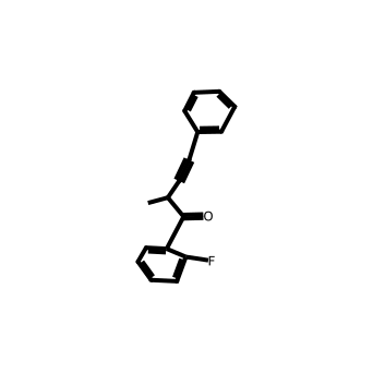 CC(C#Cc1ccccc1)C(=O)c1ccccc1F